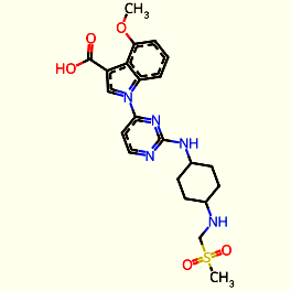 COc1cccc2c1c(C(=O)O)cn2-c1ccnc(NC2CCC(NCS(C)(=O)=O)CC2)n1